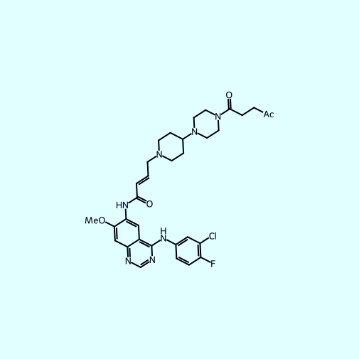 COc1cc2ncnc(Nc3ccc(F)c(Cl)c3)c2cc1NC(=O)/C=C/CN1CCC(N2CCN(C(=O)CCC(C)=O)CC2)CC1